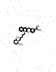 C[C@@H]1CCC[C@H](C)N1CCCCCn1c(=O)c(Cc2cccc(C(=N)N)n2)cc2ccccc21